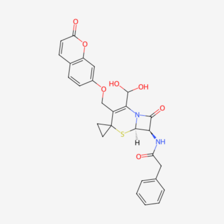 O=C(Cc1ccccc1)N[C@@H]1C(=O)N2C(C(O)O)=C(COc3ccc4ccc(=O)oc4c3)C3(CC3)S[C@H]12